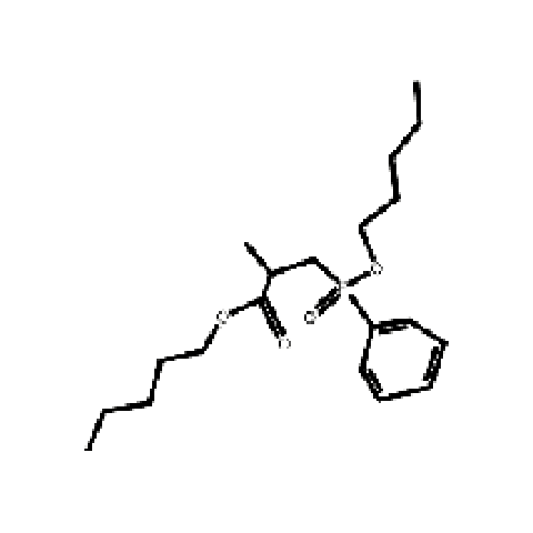 CCCCCOC(=O)C(C)CP(=O)(OCCCCC)c1ccccc1